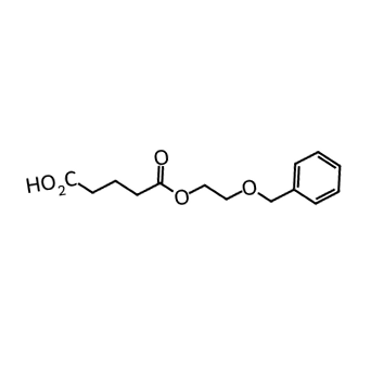 O=C(O)CCCC(=O)OCCOCc1ccccc1